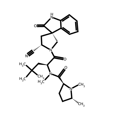 C[C@@H]1CC[C@@H](C(=O)N(C)[C@@H](CC(C)(C)C)C(=O)N2C[C@]3(C[C@H]2C#N)C(=O)Nc2ccccc23)N1C